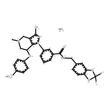 CN1Cc2c(C(F)(F)F)nn(-c3cccc(C(=O)NCc4ccc5c(c4)OC(F)(F)O5)c3)c2C(Oc2ccc(C(=O)O)cc2)C1.N